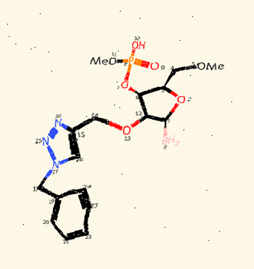 B[C@@H]1O[C@H](COC)[C@H](OP(=O)(O)OC)C1OCc1cn(Cc2ccccc2)nn1